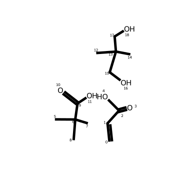 C=CC(=O)O.CC(C)(C)C(=O)O.CC(C)(CO)CO